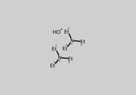 CCN(CC)CC.CCN(CC)CC.Cl